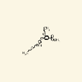 C=CCOCCN[C@H]1C[C@H](Oc2ccc(C(=O)OC)cc2OCC=C)C1